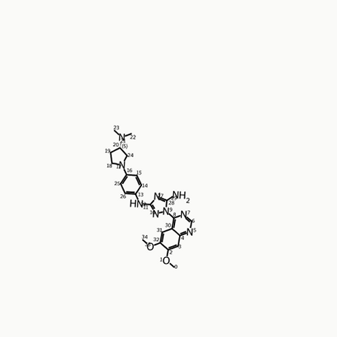 COc1cc2ncnc(-n3nc(Nc4ccc(N5CC[C@H](N(C)C)C5)cc4)nc3N)c2cc1OC